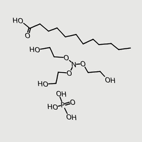 CCCCCCCCCCCC(=O)O.O=P(O)(O)O.OCCON(OCCO)OCCO